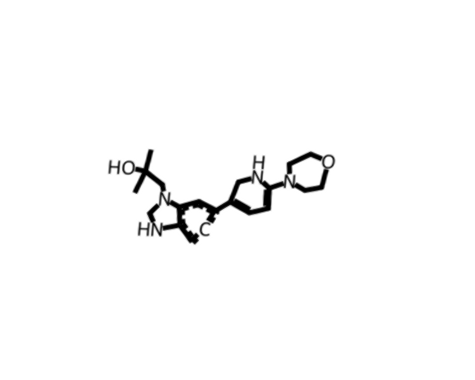 CC(C)(O)CN1CNc2ccc(C3=CC=C(N4CCOCC4)NC3)cc21